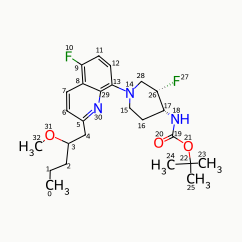 CCCC(Cc1ccc2c(F)ccc(N3CC[C@@H](NC(=O)OC(C)(C)C)[C@@H](F)C3)c2n1)OC